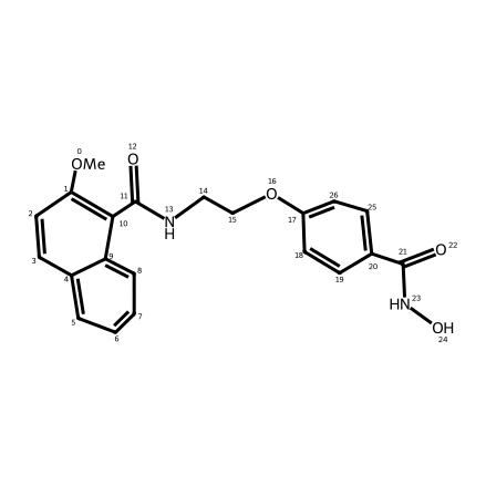 COc1ccc2ccccc2c1C(=O)NCCOc1ccc(C(=O)NO)cc1